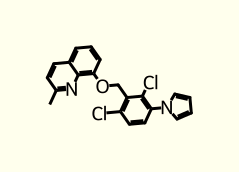 Cc1ccc2cccc(OCc3c(Cl)ccc(-n4cccc4)c3Cl)c2n1